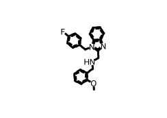 COc1ccccc1CNCc1nc2ccccc2n1Cc1ccc(F)cc1